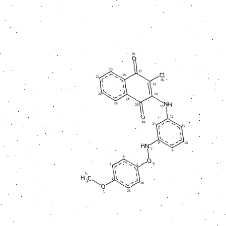 COc1ccc(ONc2cccc(NC3=C(Cl)C(=O)c4ccccc4C3=O)c2)cc1